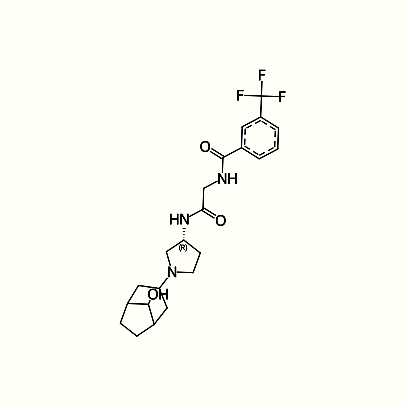 O=C(CNC(=O)c1cccc(C(F)(F)F)c1)N[C@@H]1CCN(C2CC3CCC(C2)C3O)C1